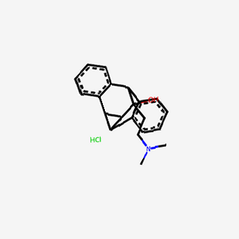 CN(C)CCC1(O)C2c3ccccc3C3C(c4ccccc42)C31.Cl